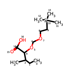 CCC(C)C(OCOCC[Si](C)(C)C)C(=O)O